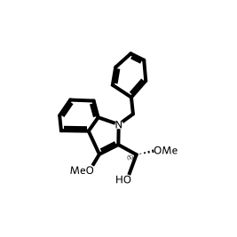 COc1c([C@@H](O)OC)n(Cc2ccccc2)c2ccccc12